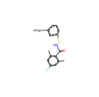 CCCCCCCc1cccc(SNC(=O)c2c(C)cc(F)cc2C)c1